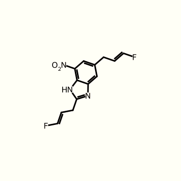 O=[N+]([O-])c1cc(CC=CF)cc2nc(CC=CF)[nH]c12